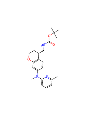 Cc1cccc(N(C)c2ccc3c(c2)OCC[C@H]3CNC(=O)OC(C)(C)C)n1